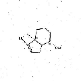 CCC1=CCC2[C@@H](OC(C)=O)CCC[C@]12C